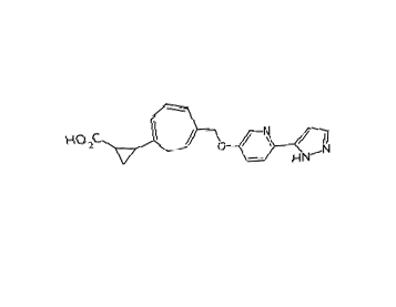 O=C(O)C1CC1C1=CC=CC(COc2ccc(-c3ccn[nH]3)nc2)=CC1